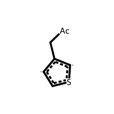 CC(=O)Cc1[c]cs[c]1